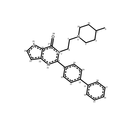 CC1CCN(CCn2c(-c3ccc(-c4ccccc4)cc3)nc3ccsc3c2=O)CC1